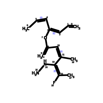 C=C/C=C(\C=C/C)OC(=C)/C=C(C)\C(NN)=C(/C)F